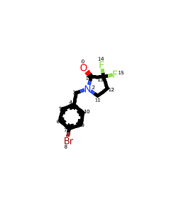 O=C1N(Cc2ccc(Br)cc2)CCC1(F)F